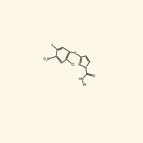 CC(C)NC(=O)n1ccc(Oc2cc(F)c([N+](=O)[O-])cc2Cl)n1